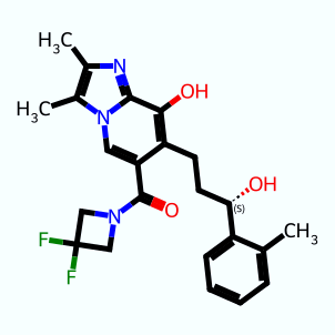 Cc1ccccc1[C@@H](O)CCc1c(C(=O)N2CC(F)(F)C2)cn2c(C)c(C)nc2c1O